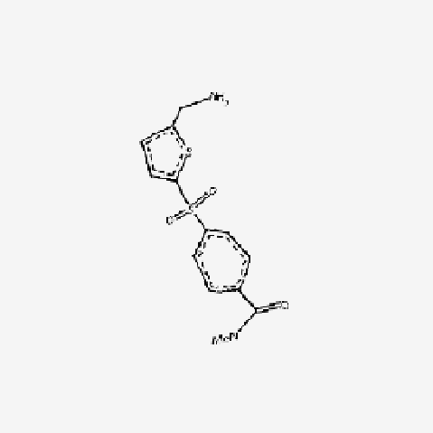 CNC(=O)c1ccc(S(=O)(=O)c2ccc(CN)s2)cc1